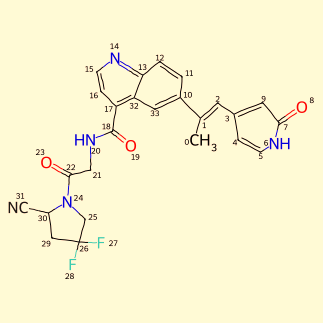 C/C(=C\c1cc[nH]c(=O)c1)c1ccc2nccc(C(=O)NCC(=O)N3CC(F)(F)CC3C#N)c2c1